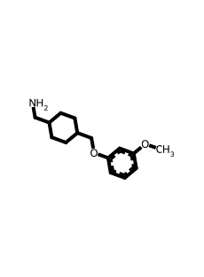 COc1cccc(OCC2CCC(CN)CC2)c1